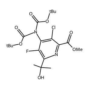 COC(=O)c1nc(C(C)(C)O)c(F)c(N(C(=O)OC(C)(C)C)C(=O)OC(C)(C)C)c1Cl